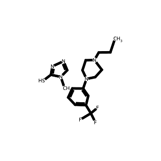 CCCN1CCN(c2cccc(C(F)(F)F)c2)CC1.Cn1cnnc1S